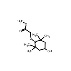 COC(=O)CON1C(C)(C)CC(O)CC1(C)C